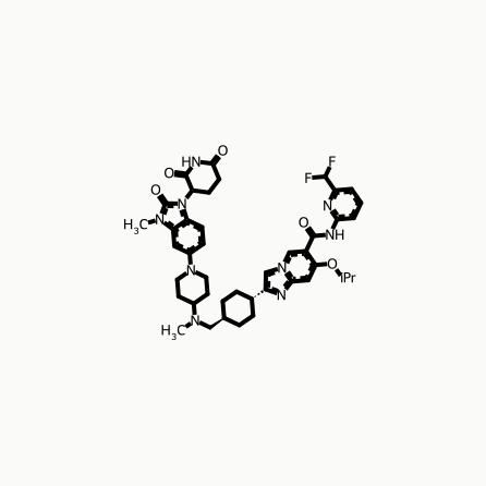 CC(C)Oc1cc2nc([C@H]3CC[C@H](CN(C)C4CCN(c5ccc6c(c5)n(C)c(=O)n6C5CCC(=O)NC5=O)CC4)CC3)cn2cc1C(=O)Nc1cccc(C(F)F)n1